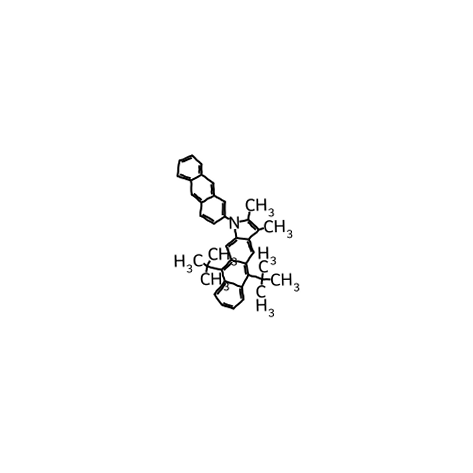 Cc1c(C)n(-c2ccc3cc4ccccc4cc3c2)c2cc3c(C(C)(C)C)c4ccccc4c(C(C)(C)C)c3cc12